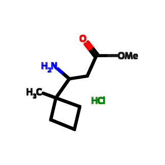 COC(=O)CC(N)C1(C)CCC1.Cl